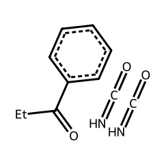 CCC(=O)c1ccccc1.N=C=O.N=C=O